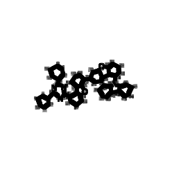 c1ccc(-c2nc(-c3ccccc3)nc(-c3cccc4oc5c(-c6ccc7c(c6)oc6cccc(-n8c9ccccc9c9ccccc98)c67)cccc5c34)n2)cc1